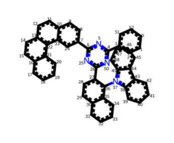 c1ccc(-c2nc(-c3ccc4ccc5ccc6ccccc6c5c4c3)nc(-c3ccc4ccccc4c3-n3c4ccccc4c4ccccc43)n2)cc1